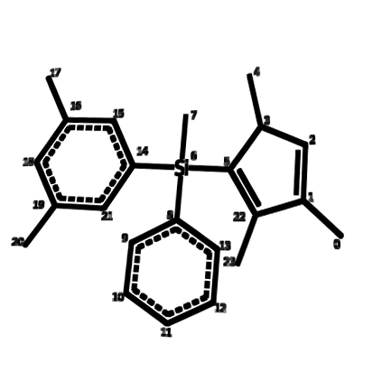 CC1=CC(C)C([Si](C)(c2ccccc2)c2cc(C)cc(C)c2)=C1C